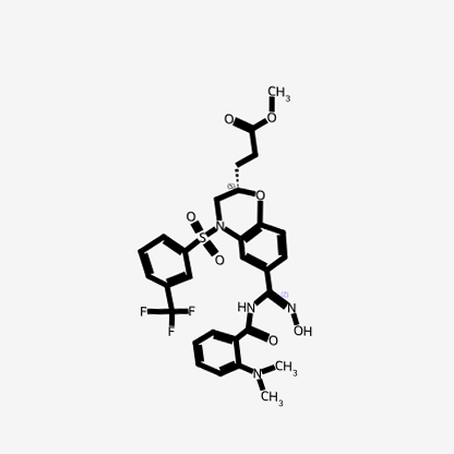 COC(=O)CC[C@H]1CN(S(=O)(=O)c2cccc(C(F)(F)F)c2)c2cc(/C(=N/O)NC(=O)c3ccccc3N(C)C)ccc2O1